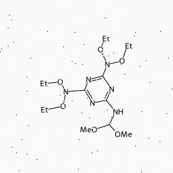 CCON(OCC)c1nc(NC(OC)OC)nc(N(OCC)OCC)n1